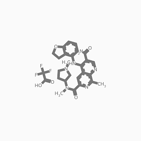 Cc1nc(C(=O)N(C)C2CCN(C)C2)cc2c(Nc3cccc4c3CCO4)c(C(N)=O)cnc12.O=C(O)C(F)(F)F